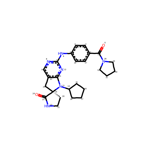 O=C(c1ccc(Nc2ncc3c(n2)N(C2CCCC2)[C@]2(CCNC2=O)C3)cc1)N1CCCC1